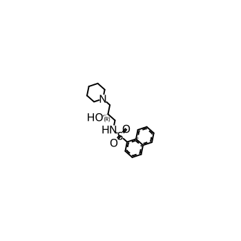 O=S(=O)(NC[C@H](O)CN1CCCCC1)c1cccc2ccccc12